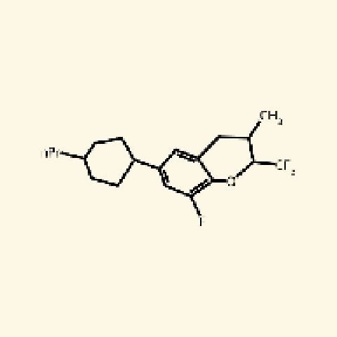 CCCC1CCC(c2cc(F)c3c(c2)CC(C)C(C(F)(F)F)O3)CC1